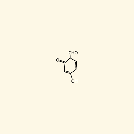 O=CC1C=CC(O)=CC1=O